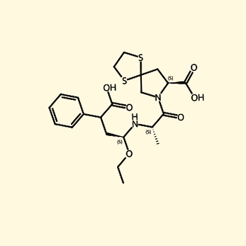 CCO[C@@H](CC(C(=O)O)c1ccccc1)N[C@@H](C)C(=O)N1CC2(C[C@H]1C(=O)O)SCCS2